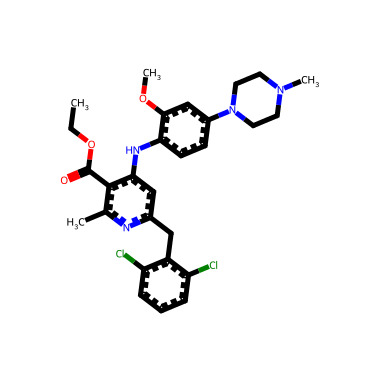 CCOC(=O)c1c(Nc2ccc(N3CCN(C)CC3)cc2OC)cc(Cc2c(Cl)cccc2Cl)nc1C